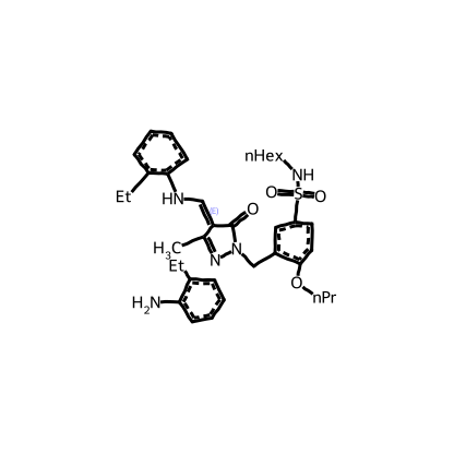 CCCCCCNS(=O)(=O)c1ccc(OCCC)c(CN2N=C(C)/C(=C\Nc3ccccc3CC)C2=O)c1.CCc1ccccc1N